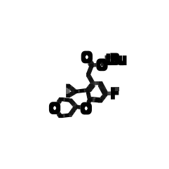 CC(C)(C)OC(=O)Cc1cc(F)cc(OC2CCOCC2)c1C1CC1